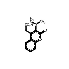 CN(C)c1c(CC(=O)O)c2ccccc2oc1=O